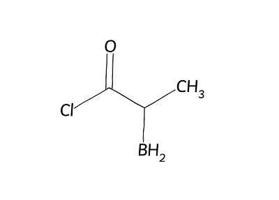 BC(C)C(=O)Cl